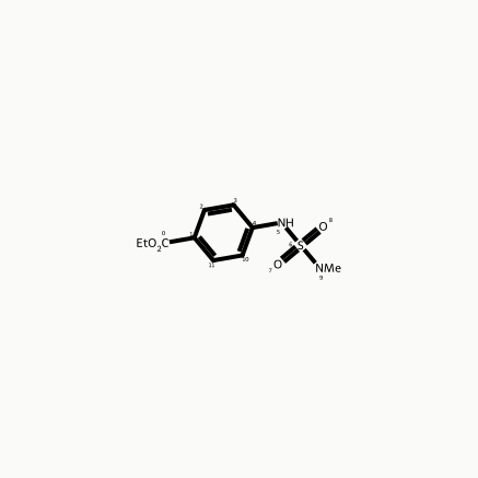 CCOC(=O)c1ccc(NS(=O)(=O)NC)cc1